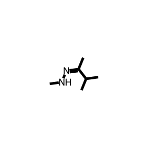 CN/N=C(/C)C(C)C